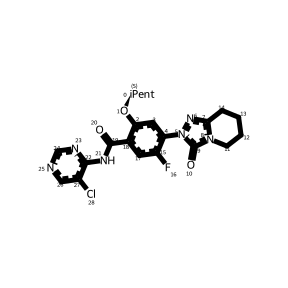 CCC[C@H](C)Oc1cc(-n2nc3n(c2=O)CCCC3)c(F)cc1C(=O)Nc1ncncc1Cl